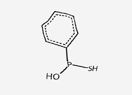 OP(S)c1ccccc1